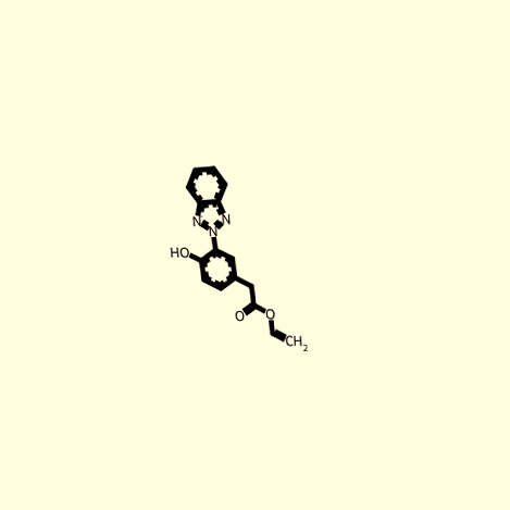 C=COC(=O)Cc1ccc(O)c(-n2nc3ccccc3n2)c1